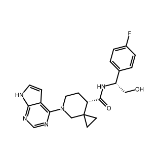 O=C(N[C@@H](CO)c1ccc(F)cc1)[C@H]1CCN(c2ncnc3[nH]ccc23)CC12CC2